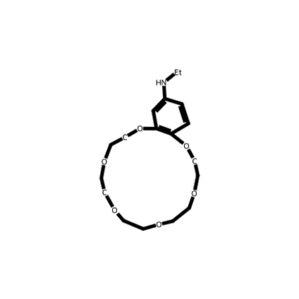 CCNc1ccc2c(c1)OCCOCCOCCOCCOCCO2